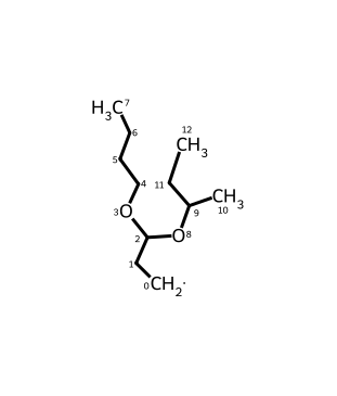 [CH2]CC(OCCCC)OC(C)CC